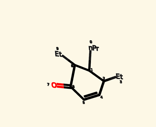 CCCC1C(CC)C=CC(=O)C1CC